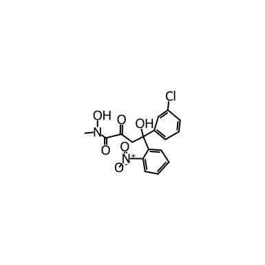 CN(O)C(=O)C(=O)CC(O)(c1cccc(Cl)c1)c1ccccc1[N+](=O)[O-]